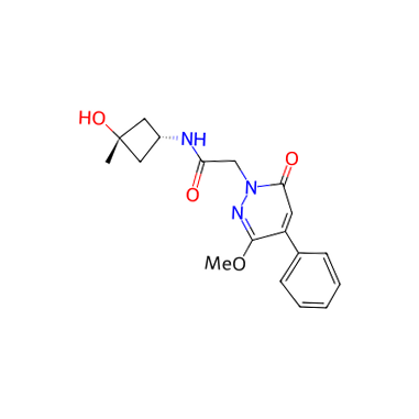 COc1nn(CC(=O)N[C@H]2C[C@@](C)(O)C2)c(=O)cc1-c1ccccc1